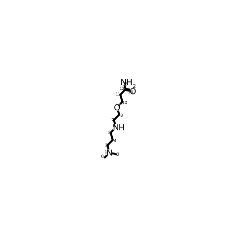 CN(C)CCCNCCOCCC(N)=O